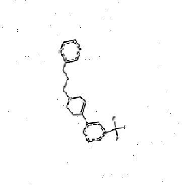 FC(F)(F)c1cccc(C2=CCN(CCCc3ccccn3)CC2)c1